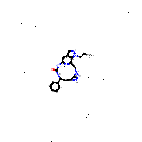 COCCn1ncc2cc3nc(c21)CN1N=NC(CC(c2ccccc2)NC(=O)N3)C1C